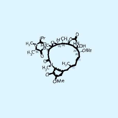 COc1cc2cc(c1Cl)N(C)C(=O)C[C@H](OC(=O)[C@H](C)N(C)C(=O)C(C)C)C1(C)O[C@H]1[C@H](C)C1C[C@@](O)(NC(=O)O1)[C@H](OC)/C=C/C=C(\C)C2